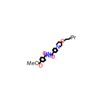 COC(=O)c1ccc(C(=O)NNC(=O)c2ccc(N3CCC(OCCCC(C)C)CC3)cc2)cc1